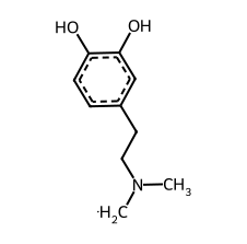 [CH2]N(C)CCc1ccc(O)c(O)c1